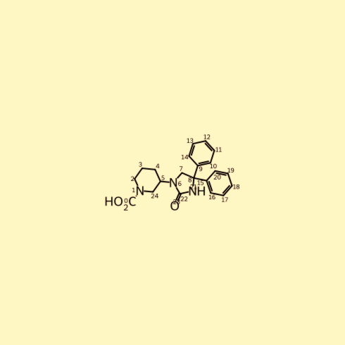 O=C(O)N1CCCC(N2CC(c3ccccc3)(c3ccccc3)NC2=O)C1